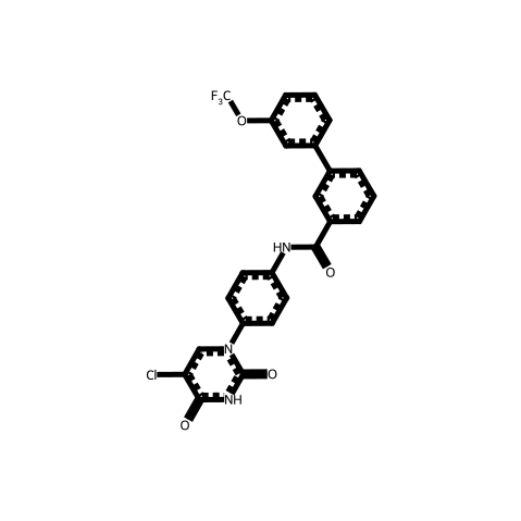 O=C(Nc1ccc(-n2cc(Cl)c(=O)[nH]c2=O)cc1)c1cccc(-c2cccc(OC(F)(F)F)c2)c1